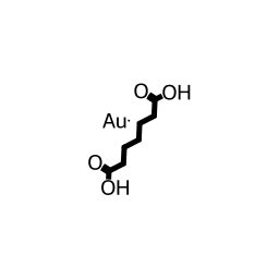 O=C(O)CCCCCC(=O)O.[Au]